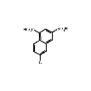 [O]c1ccc2c(C(=O)O)cc(S(=O)(=O)O)cc2c1